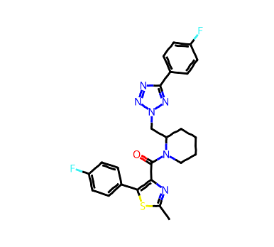 Cc1nc(C(=O)N2CCCCC2Cn2nnc(-c3ccc(F)cc3)n2)c(-c2ccc(F)cc2)s1